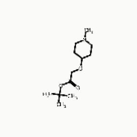 CN1CCC(OCC(=O)OC(C)(C)C)CC1